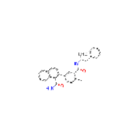 Cc1ccc(-c2ccc3ccccc3c2C(N)=O)cc1C(=O)NC(C=O)Cc1ccccc1